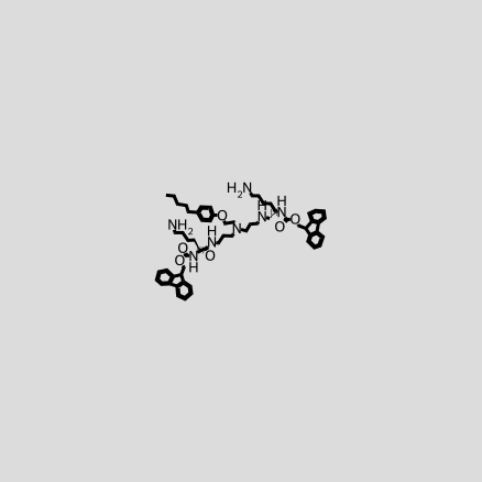 CCCCCc1ccc(OCCN(CCCNC[C@H](CCCCN)NC(=O)OCC2c3ccccc3-c3ccccc32)CCCNC(=O)[C@H](CCCCN)NC(=O)OCC2c3ccccc3-c3ccccc32)cc1